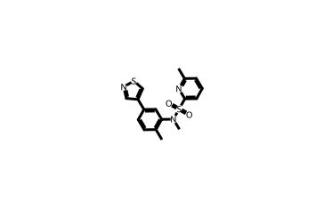 Cc1cccc(S(=O)(=O)N(C)c2cc(-c3cnsc3)ccc2C)n1